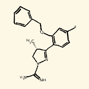 C[C@H]1CN(C(=N)N)N=C1c1ccc(F)cc1OCc1ccccc1